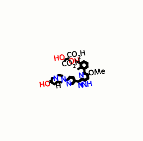 COc1cc2[nH]nc(-c3ccc(N4CCN5C[C@H](O)C[C@H]5C4)nc3)c2nc1-c1cccc(C)c1C.O=C(O)C(O)C(O)C(=O)O